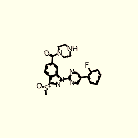 C[S+]([O-])c1nn(-c2ncc(-c3ccccc3F)cn2)c2cc(C(=O)N3CCNCC3)ccc12